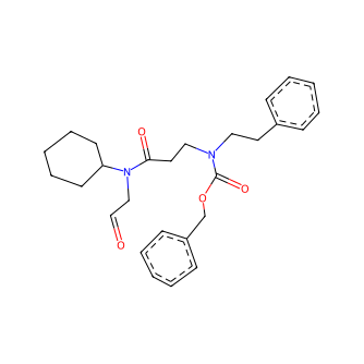 O=CCN(C(=O)CCN(CCc1ccccc1)C(=O)OCc1ccccc1)C1CCCCC1